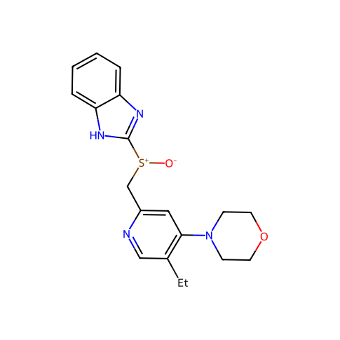 CCc1cnc(C[S+]([O-])c2nc3ccccc3[nH]2)cc1N1CCOCC1